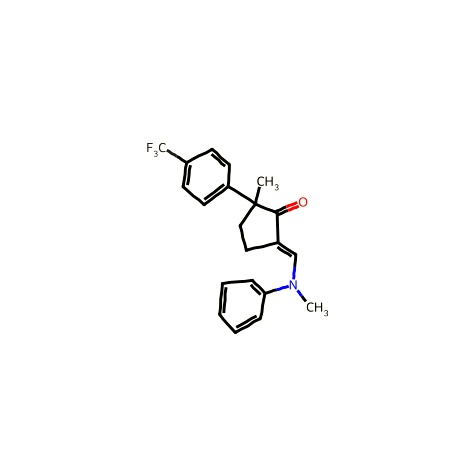 CN(C=C1CCC(C)(c2ccc(C(F)(F)F)cc2)C1=O)c1ccccc1